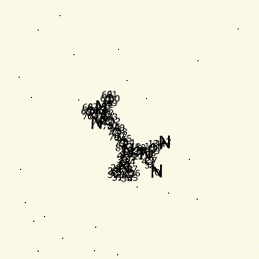 N#Cc1ccc2c(c1)c1cc(C#N)ccc1n2-c1ccc2c(c1)c1cc(-n3c4ccccc4c4ccccc43)ccc1n2-c1ccc(-c2ccc(-c3ccc(-c4cc(-c5ccccc5)nc(-c5ccccc5)n4)c(C#N)c3)cc2)cc1